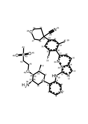 C[C@H]1CN(c2ccncc2Nc2ncc3ccc(-c4c(F)cc(C5(C#N)CCOCC5)cc4F)nn23)C[C@@H](N)[C@H]1OCCS(C)(=O)=O